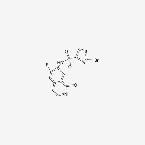 O=c1[nH]ccc2cc(F)c(NS(=O)(=O)c3ccc(Br)s3)cc12